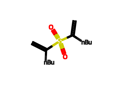 C=C(CCCC)S(=O)(=O)C(=C)CCCC